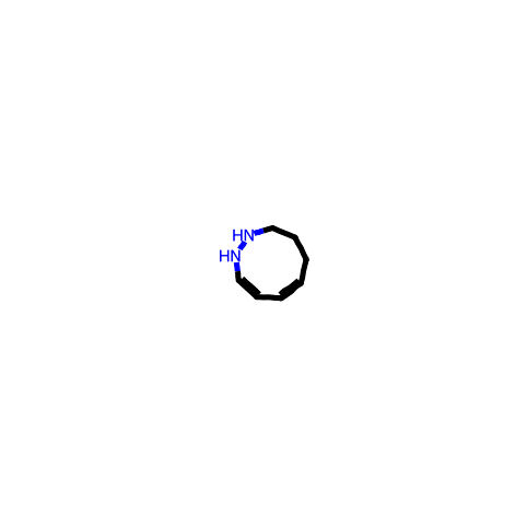 C1=CCCCNNC=C1